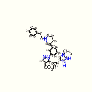 CN1C=C([C@@H]2C[C@H]2c2c(C(=O)O)cnn2-c2cccc(C3CCCN(CCc4ccccc4)C3)c2)NN1